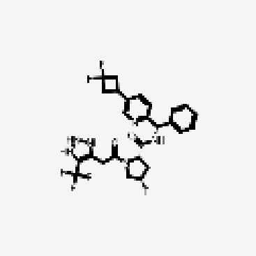 O=C(N[C@@H](c1ccccc1)c1ccc(C2CC(F)(F)C2)cn1)[C@@H]1C[C@@H](F)CN1C(=O)CC1=C(C(F)(F)F)NNN1